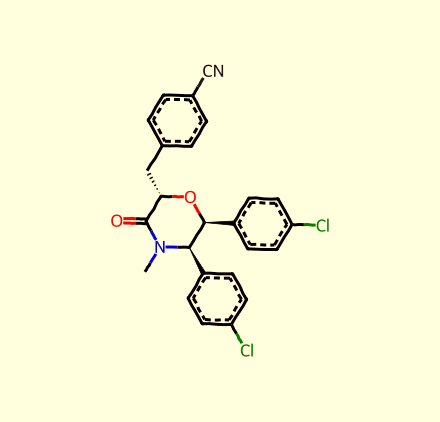 CN1C(=O)[C@H](Cc2ccc(C#N)cc2)O[C@@H](c2ccc(Cl)cc2)[C@H]1c1ccc(Cl)cc1